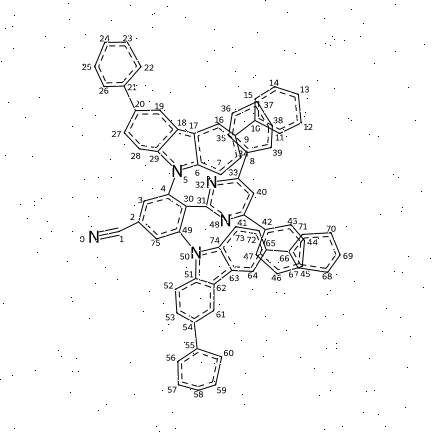 N#Cc1cc(-n2c3ccc(-c4ccccc4)cc3c3cc(-c4ccccc4)ccc32)c(-c2nc(-c3ccccc3)cc(-c3ccccc3)n2)c(-n2c3ccc(-c4ccccc4)cc3c3cc(-c4ccccc4)ccc32)c1